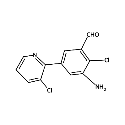 Nc1cc(-c2ncccc2Cl)cc(C=O)c1Cl